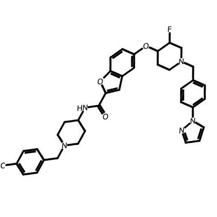 N#Cc1ccc(CN2CCC(NC(=O)c3cc4cc(OC5CCN(Cc6ccc(-n7cccn7)cc6)CC5F)ccc4o3)CC2)cc1